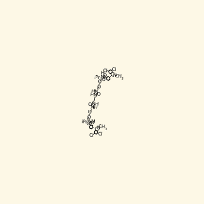 CC(C)[C@H](COCCOCCNC(=O)NCCCCNC(=O)NCCOCCOC[C@@H](NS(=O)(=O)c1cccc([C@@H]2CN(C)Cc3c(Cl)cc(Cl)cc32)c1)C(C)C)NS(=O)(=O)c1cccc([C@@H]2CN(C)Cc3c(Cl)cc(Cl)cc32)c1